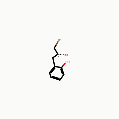 Oc1ccccc1C[C@@H](O)CBr